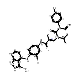 C/C(=C\N(C(=O)N(C=O)c1ccc(F)cc1)C(C)C)C(=O)Nc1ccc(Oc2ccnc3[nH]nc(N)c23)c(F)c1